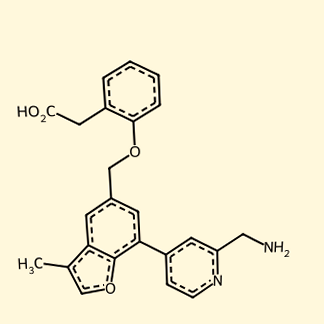 Cc1coc2c(-c3ccnc(CN)c3)cc(COc3ccccc3CC(=O)O)cc12